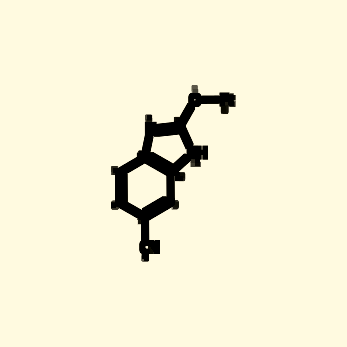 CCOc1nc2ccc(C#N)cc2[nH]1